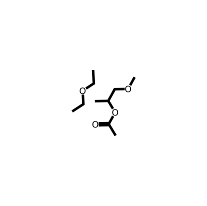 CCOCC.COCC(C)OC(C)=O